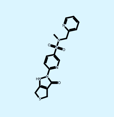 CN(Cc1ccccn1)S(=O)(=O)c1ccc(-n2[nH]c3c(c2=O)CSC3)nc1